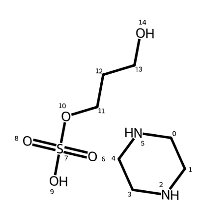 C1CNCCN1.O=S(=O)(O)OCCCO